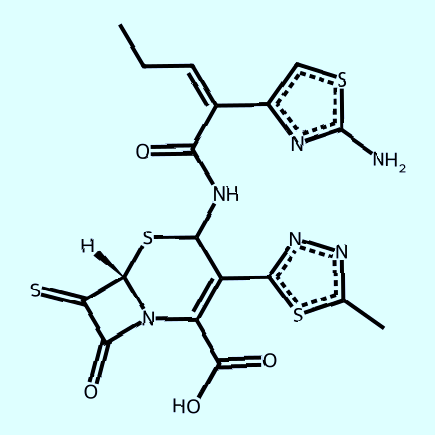 CC/C=C(\C(=O)NC1S[C@H]2C(=S)C(=O)N2C(C(=O)O)=C1c1nnc(C)s1)c1csc(N)n1